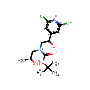 C[C@H](O)CN(CC(O)c1cc(Cl)nc(Cl)c1)C(=O)OC(C)(C)C